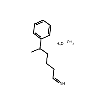 CB(CCCC=N)c1ccccc1.O.O